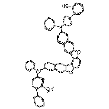 Sc1ccccc1-c1ccc(N(c2ccccc2)c2ccc3cc4c(cc3c2)oc2ccc3oc5cc6cc(N(c7ccccc7)c7ccc(-c8ccccc8)c(S)c7)ccc6cc5c3c24)cc1